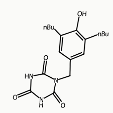 CCCCc1cc(Cn2c(=O)[nH]c(=O)[nH]c2=O)cc(CCCC)c1O